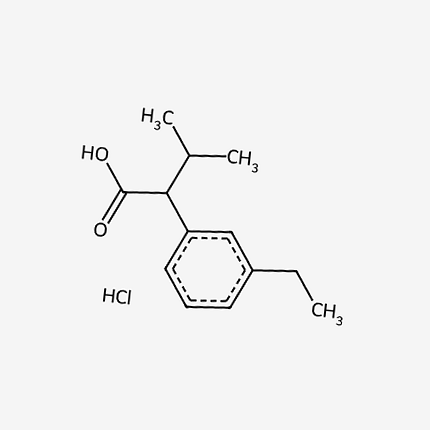 CCc1cccc(C(C(=O)O)C(C)C)c1.Cl